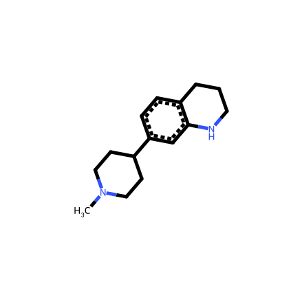 CN1CCC(c2ccc3c(c2)NCCC3)CC1